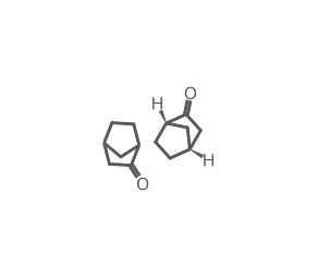 O=C1CC2CCC1C2.O=C1C[C@@H]2CC[C@H]1C2